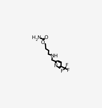 NC(=O)OCCCCNCc1ccc(C(F)(F)F)cn1